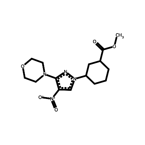 COC(=O)C1CCCC(n2cc([N+](=O)[O-])c(N3CCOCC3)n2)C1